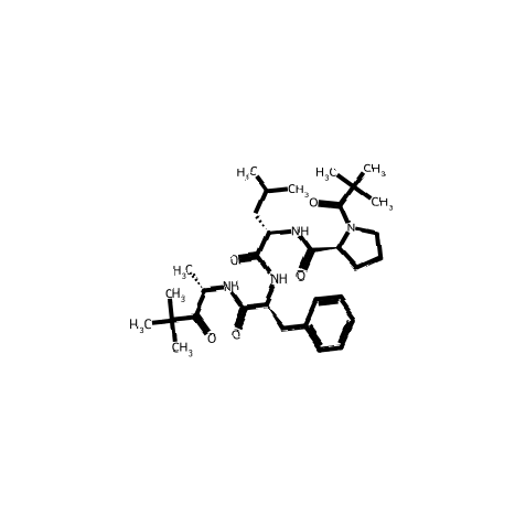 CC(C)C[C@H](NC(=O)[C@@H]1CCCN1C(=O)C(C)(C)C)C(=O)N[C@@H](Cc1ccccc1)C(=O)N[C@@H](C)C(=O)C(C)(C)C